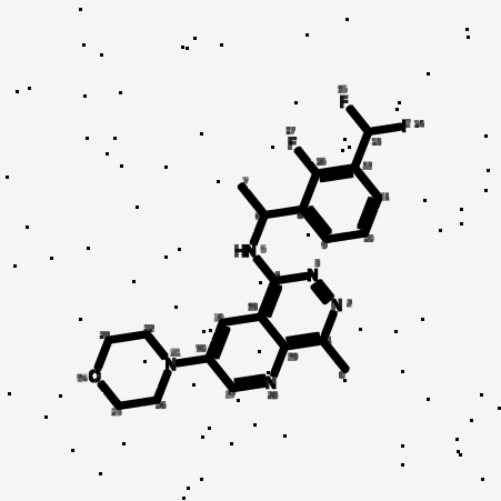 Cc1nnc(NC(C)c2cccc(C(F)F)c2F)c2cc(N3CCOCC3)cnc12